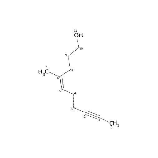 CC#CCCC=C(C)CCCO